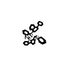 c1ccc(-c2ccc(-c3nc(-n4c5ccccc5c5ccc6c(ccn6-c6ccccc6)c54)nc4ccccc34)c3ccccc23)cc1